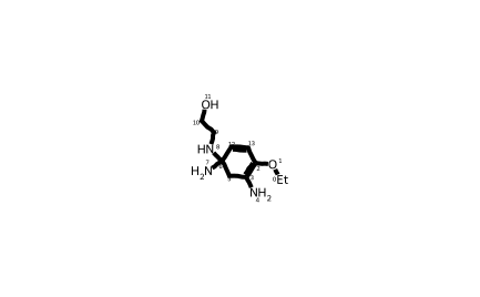 CCOC1=C(N)CC(N)(NCCO)C=C1